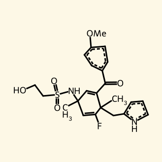 COc1ccc(C(=O)C2=CC(C)(NS(=O)(=O)CCO)C=C(F)C2(C)Cc2ccc[nH]2)cc1